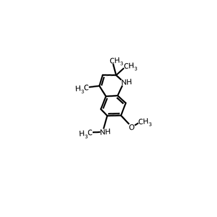 CNc1cc2c(cc1OC)NC(C)(C)C=C2C